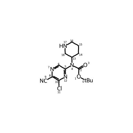 CC(C)(C)OC(=O)N(c1cnc(C#N)c(Cl)n1)C1CCCNC1